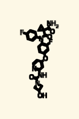 NC(=O)C1(C(=O)N(c2ccc(F)cc2)c2ccc(Oc3ccnc(NC(=O)N4CC(O)C4)c3)cc2F)CC1